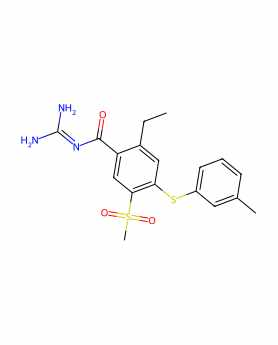 CCc1cc(Sc2cccc(C)c2)c(S(C)(=O)=O)cc1C(=O)N=C(N)N